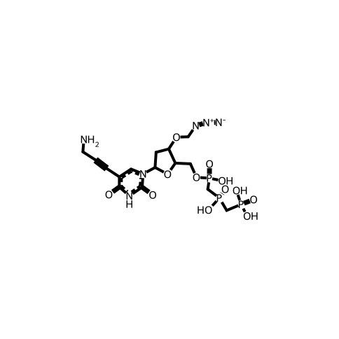 [N-]=[N+]=NCOC1CC(n2cc(C#CCN)c(=O)[nH]c2=O)OC1COP(=O)(O)CP(=O)(O)CP(=O)(O)O